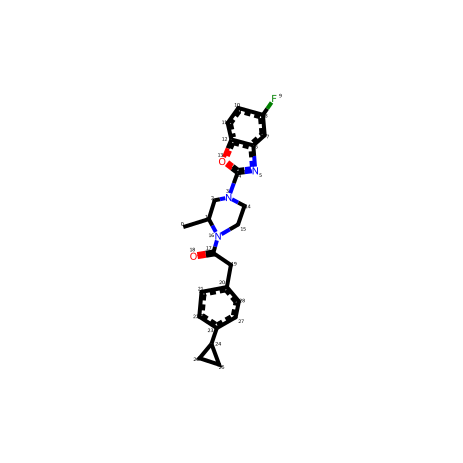 CC1CN(c2nc3cc(F)ccc3o2)CCN1C(=O)Cc1ccc(C2CC2)cc1